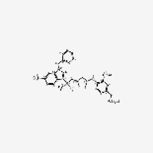 CCOC(=O)Cc1ccc(O[C@H]2CCN(CC(O)(c3cn(Cc4ccccc4)c4cc([N+](=O)[O-])ccc34)C(F)(F)F)C2)c(OC)c1